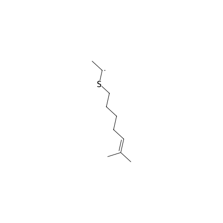 C[CH]SCCCCC=C(C)C